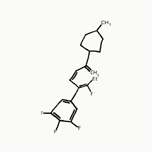 C=C(/C=C\C(=C(\F)CC)c1cc(F)c(F)c(F)c1)C1CCC(C)CC1